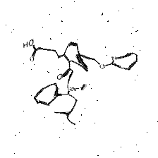 CC(C)CC(NC(=O)c1cc(COc2ccccn2)ccc1CCC(=O)O)c1ccccc1